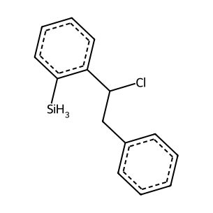 [SiH3]c1ccccc1C(Cl)Cc1ccccc1